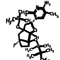 Cc1cn([C@H]2CC3(O[Si](C)(C)C)C[C@]4(F)CCC4(O[Si](C)(C)C(C)(C)C)[C@H]3O2)c(=O)nc1N